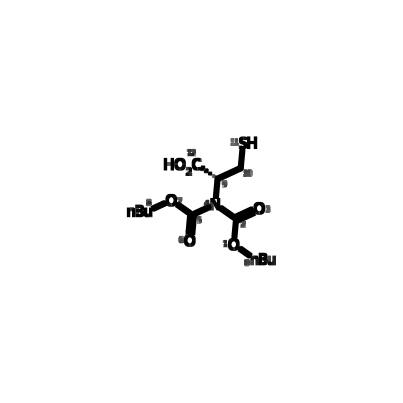 CCCCOC(=O)N(C(=O)OCCCC)[C@@H](CS)C(=O)O